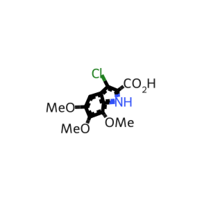 COc1cc2c(Cl)c(C(=O)O)[nH]c2c(OC)c1OC